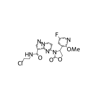 COc1ncc(F)cc1C1COC(=O)N1c1ccn2ncc(C(=O)NCCCl)c2n1